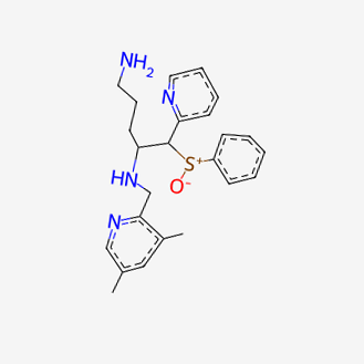 Cc1cnc(CNC(CCCN)C(c2ccccn2)[S+]([O-])c2ccccc2)c(C)c1